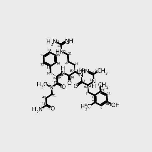 CC(=N)N[C@@H](Cc1c(C)cc(O)cc1C)C(=O)N[C@H](CCCNC(=N)N)C(=O)N[C@@H](Cc1ccccc1)C(=O)N(C)CCC(N)=O